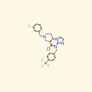 O=c1c2c(n3ccnc3n1Cc1ccc(C(F)(F)F)cc1)CCN(Cc1cccc(F)c1)C2